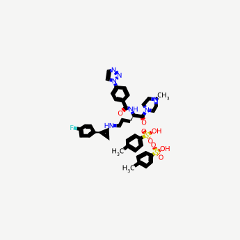 CN1CCN(C(=O)[C@H](CCCN[C@@H]2C[C@H]2c2ccc(F)cc2)NC(=O)c2ccc(-n3ccnn3)cc2)CC1.Cc1ccc(S(=O)(=O)O)cc1.Cc1ccc(S(=O)(=O)O)cc1